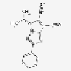 [C-]#[N+]c1c(C#N)c2nc(-c3ccccc3)nn2c1=C(C)C